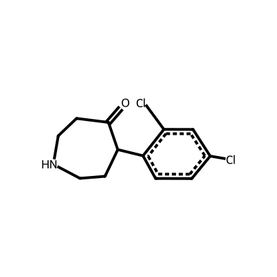 O=C1CCNCCC1c1ccc(Cl)cc1Cl